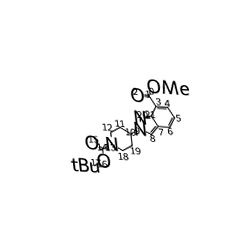 COC(=O)c1cccc2cn(C3CCN(C(=O)OC(C)(C)C)CC3)nc12